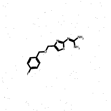 NC(N)=Nc1nc(COCc2ccc(F)cc2)cs1